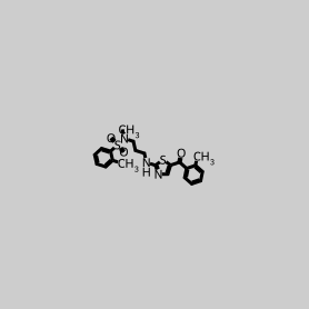 Cc1ccccc1C(=O)c1cnc(NCCCN(C)S(=O)(=O)c2ccccc2C)s1